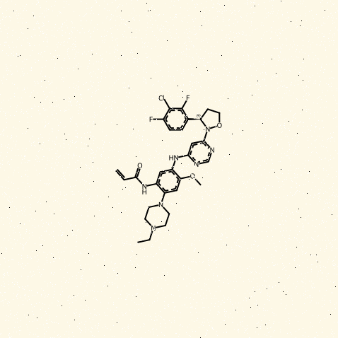 C=CC(=O)Nc1cc(Nc2cc(N3OCC[C@@H]3c3ccc(F)c(Cl)c3F)ncn2)c(OC)cc1N1CCN(CC)CC1